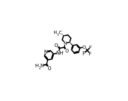 C[C@@H]1CC[C@@H](c2cccc(OC(F)(F)F)c2)N(C(=O)C(=O)Nc2cncc(C(N)=O)c2)C1